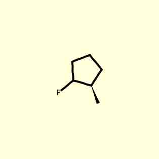 C[C@@H]1CCCC1F